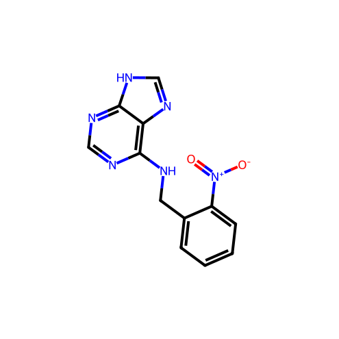 O=[N+]([O-])c1ccccc1CNc1ncnc2[nH]cnc12